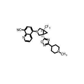 CN1CCC(c2noc([C@]34CN(c5ccc(C#N)c6ncccc56)C[C@@]3(C(F)(F)F)C4)n2)CC1